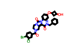 O=C(NCc1ccccc1)c1c2n(c(=O)n1-c1ccc(OC3CC(O)C3)cc1)CCN(C(=O)c1ccc(Br)c(Cl)c1)C2